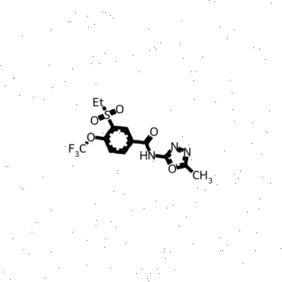 CCS(=O)(=O)c1cc(C(=O)Nc2nnc(C)o2)ccc1OC(F)(F)F